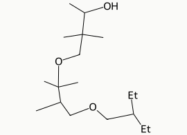 CCC(CC)COCC(C)C(C)(C)OCC(C)(C)C(C)O